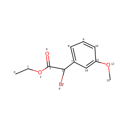 CCOC(=O)C(Br)c1cccc(OC)c1